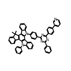 CC1(C)c2ccccc2-c2c1c1c3ccccc3n(-c3ccc(-c4nc(-c5ccccc5)nc(-c5ccc(-c6cccnc6)cc5)n4)cc3)c1c1c3ccccc3n(-c3ccccc3)c21